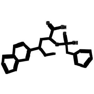 CCC(CC(OP(=O)(O)Cc1ccccc1)C(=O)O)c1ccc2ccccc2c1